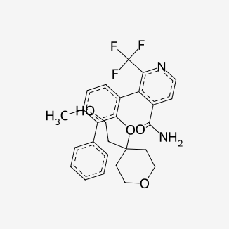 Cc1ccc(-c2c(C(N)=O)ccnc2C(F)(F)F)c(OC2(CCO)CCOCC2)c1-c1ccccc1